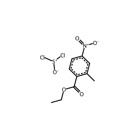 CCOC(=O)c1ccc([N+](=O)[O-])cc1C.[O-][S+](Cl)Cl